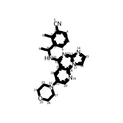 Cc1c(C#N)cccc1C(C)Nc1nc2nccn2c2ncc(N3CCOCC3)cc12